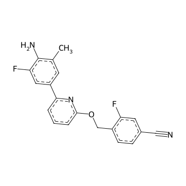 Cc1cc(-c2cccc(OCc3ccc(C#N)cc3F)n2)cc(F)c1N